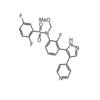 COCN(c1cccc(-c2[nH]ncc2-c2ccncc2)c1F)S(=O)(=O)c1cc(F)ccc1F